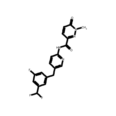 Cn1nc(C(=O)Nc2ccc(Cc3cc(F)cc(C(F)F)c3)cn2)ccc1=O